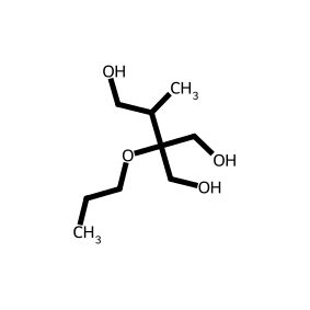 CCCOC(CO)(CO)C(C)CO